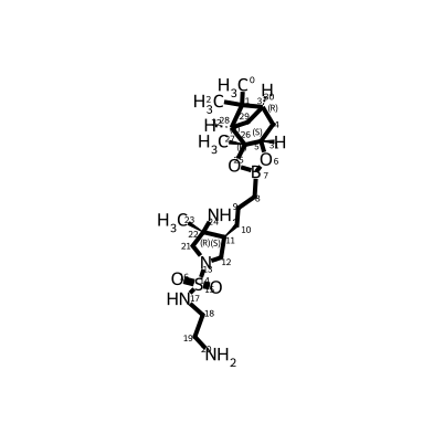 CC1(C)[C@H]2C[C@@H]3OB(CCC[C@H]4CN(S(=O)(=O)NCCN)C[C@]4(C)N)O[C@]3(C)[C@@H]1C2